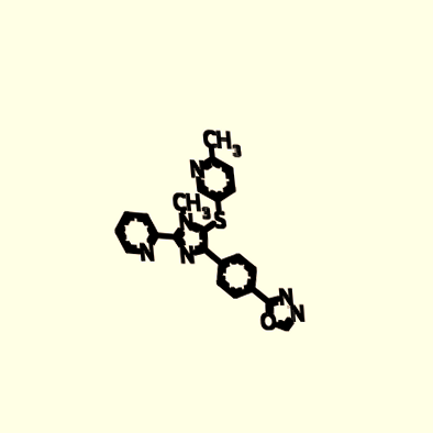 Cc1ccc(Sc2c(-c3ccc(-c4nnco4)cc3)nc(-c3ccccn3)n2C)cn1